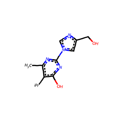 Cc1nc(-n2cnc(CO)c2)nc(O)c1C(C)C